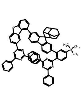 C[Si](C)(C)c1ccc(-c2nc(-c3ccccc3)nc(-c3ccccc3)n2)c(-c2ccc3c(c2)C2(c4cc(-c5cccc6sc7ccc(-c8nc(-c9ccccc9)nc(-c9ccccc9)n8)cc7c56)ccc4-3)C3CC4CC(C3)CC2C4)c1